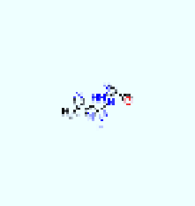 Cc1ccncc1-c1cnc2[nH]nc(-c3nc4c(-c5ccoc5)ccnc4[nH]3)c2c1